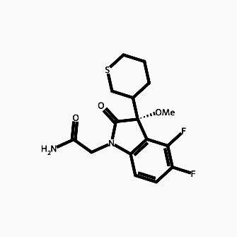 CO[C@@]1(C2CCCSC2)C(=O)N(CC(N)=O)c2ccc(F)c(F)c21